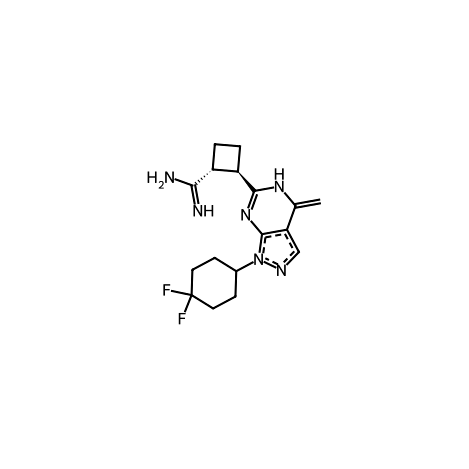 C=C1NC([C@@H]2CC[C@H]2C(=N)N)=Nc2c1cnn2C1CCC(F)(F)CC1